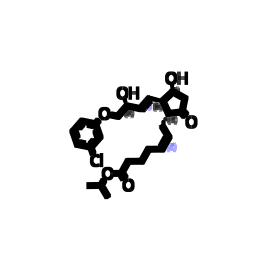 CC(C)OC(=O)CCC/C=C\C[C@H]1C(=O)C[C@@H](O)[C@@H]1/C=C/[C@@H](O)COc1cccc(Cl)c1